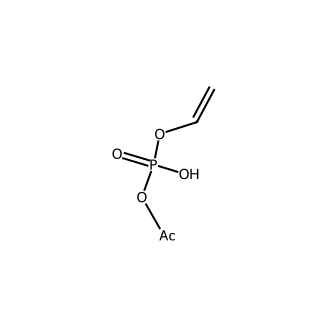 C=COP(=O)(O)OC(C)=O